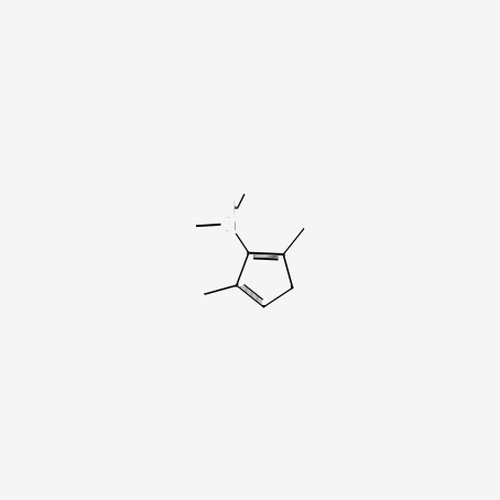 CC1=CCC(C)=C1[SiH](C)C